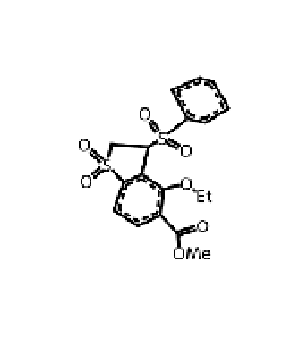 CCOc1c(C(=O)OC)ccc2c1C(S(=O)(=O)c1ccccc1)CS2(=O)=O